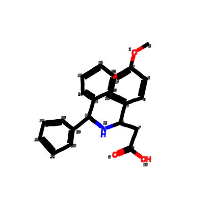 COc1ccc(C(CC(=O)O)NC(c2ccccc2)c2ccccc2)cc1